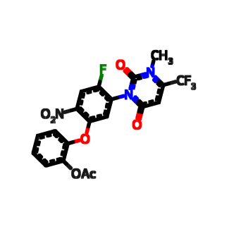 CC(=O)Oc1ccccc1Oc1cc(-n2c(=O)cc(C(F)(F)F)n(C)c2=O)c(F)cc1[N+](=O)[O-]